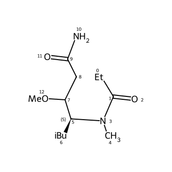 CCC(=O)N(C)[C@@H](C(C)CC)C(CC(N)=O)OC